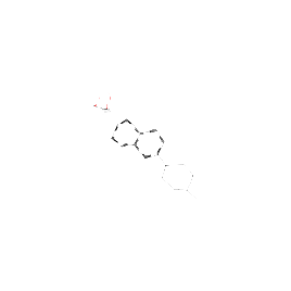 CC1CCC(c2ccc3cc([C@@H]4CO4)ccc3c2)CC1